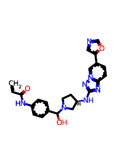 C=CC(=O)Nc1ccc(C(O)N2CC[C@@H](Nc3nc4ccc(-c5cnco5)cn4n3)C2)cc1